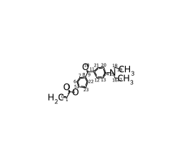 C=CC(=O)Oc1ccc(C(=O)c2ccc(N(CC)CC)cc2)cc1